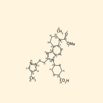 COC(=O)N1c2ccc3c(nc(CCn4cc(C)cn4)n3C3CCC(C(=O)O)CC3)c2CC[C@@H]1C